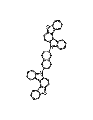 c1ccc2c(c1)sc1ccc3c(c4ccccc4n3-c3ccc4cc(-n5c6ccccc6c6c7c(ccc65)sc5ccccc57)ccc4c3)c12